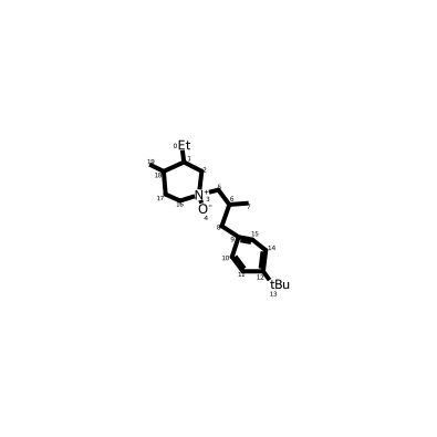 CCC1C[N+]([O-])(CC(C)Cc2ccc(C(C)(C)C)cc2)CCC1C